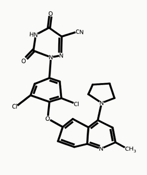 Cc1cc(N2CCCC2)c2cc(Oc3c(Cl)cc(-n4nc(C#N)c(=O)[nH]c4=O)cc3Cl)ccc2n1